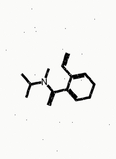 C=CC1=CCCC=C1C(=C)N(C)C(C)C